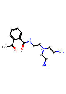 CC(=O)c1ccccc1C(=O)NCCN(CCN)CCN